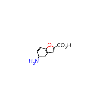 Nc1ccc2oc(C(=O)O)cc2c1